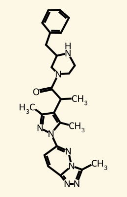 Cc1nn(-c2ccc3nnc(C)n3n2)c(C)c1C(C)C(=O)N1CCNC(Cc2ccccc2)C1